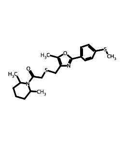 CSc1ccc(-c2nc(CSCC(=O)N3C(C)CCCC3C)c(C)o2)cc1